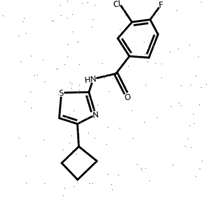 O=C(Nc1nc(C2CCC2)cs1)c1ccc(F)c(Cl)c1